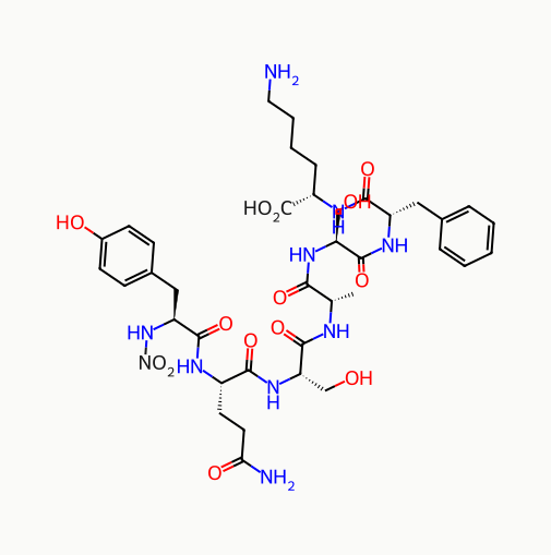 C[C@H](NC(=O)[C@H](CO)NC(=O)[C@H](CCC(N)=O)NC(=O)[C@H](Cc1ccc(O)cc1)N[N+](=O)[O-])C(=O)N[C@@H](CO)C(=O)N[C@@H](Cc1ccccc1)C(=O)N[C@@H](CCCCN)C(=O)O